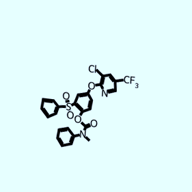 CN(C(=O)Oc1ccc(Oc2ncc(C(F)(F)F)cc2Cl)cc1S(=O)(=O)c1ccccc1)c1ccccc1